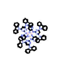 c1cnc2c(c1)N1B(N3B(N4B1N(c1nc(-n5c6ccccc6c6ccccc65)cc(-n5c6ccccc6c6ccccc65)n1)c1ncccc14)N(c1nc(-n4c5ccccc5c5ccccc54)cc(-n4c5ccccc5c5ccccc54)n1)c1ncccc13)N2c1nc(-n2c3ccccc3c3ccccc32)cc(-n2c3ccccc3c3ccccc32)n1